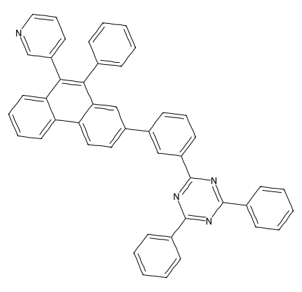 c1ccc(-c2nc(-c3ccccc3)nc(-c3cccc(-c4ccc5c(c4)c(-c4ccccc4)c(-c4cccnc4)c4ccccc45)c3)n2)cc1